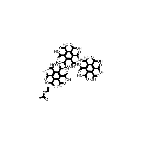 C=COC(C)=O.O=C(O)c1c(C(=O)O)c(C(=O)O)c(C(=O)O)c(C(=O)O)c1C(=O)O.O=C(O)c1c(C(=O)O)c(C(=O)O)c(C(=O)O)c(C(=O)O)c1C(=O)O.O=C(O)c1c(C(=O)O)c(C(=O)O)c(C(=O)O)c(C(=O)O)c1C(=O)O